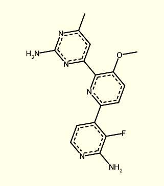 COc1ccc(-c2ccnc(N)c2F)nc1-c1cc(C)nc(N)n1